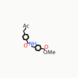 COC(=O)c1ccc(CNC(=O)c2ccc(CCC(C)=O)cc2)cc1